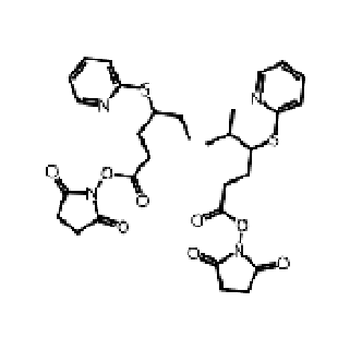 CC(C)C(CCC(=O)ON1C(=O)CCC1=O)Sc1ccccn1.CCC(CCC(=O)ON1C(=O)CCC1=O)Sc1ccccn1